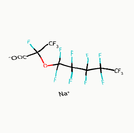 O=C([O-])C(F)(OC(F)(F)C(F)(F)C(F)(F)C(F)(F)C(F)(F)F)C(F)(F)F.[Na+]